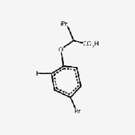 CC(C)C(Oc1ccc(Br)cc1I)C(=O)O